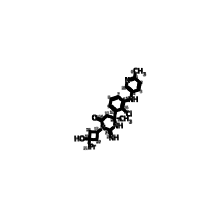 Cc1ccc(Nc2cccc([C@]3(C)CC(=O)N(C4CC(O)(C(C)C)C4)C(=N)N3)c2Cl)cn1